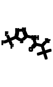 CC(C)(C)C(Br)C(=O)Nc1nnc(C(F)(F)F)s1